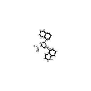 O=[N+]([O-])C1=NC(c2cccc3ccccc23)N2C1C2c1cccc2ccccc12